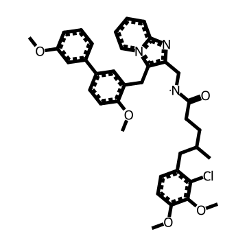 COc1cccc(-c2ccc(OC)c(Cc3c(C[N]C(=O)CCC(C)Cc4ccc(OC)c(OC)c4Cl)nc4ccccn34)c2)c1